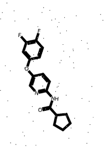 O=C(Nc1ccc(Oc2ccc(F)c(F)c2)cn1)C1CCCC1